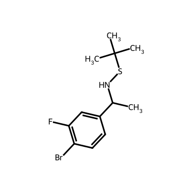 CC(NSC(C)(C)C)c1ccc(Br)c(F)c1